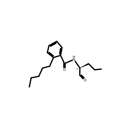 CCCCCc1ccccc1C(=O)N[C@H](C=O)CCC